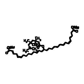 COC(=O)CCC/C=C\CCCCCCCCC(CCCCCCCC/C=C\CCCC(=O)OC)OC(=O)CC(C)(C)CC(C)(C)CN(C)C